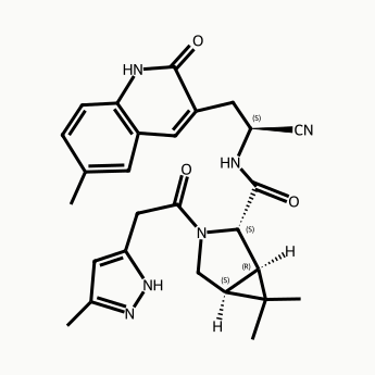 Cc1ccc2[nH]c(=O)c(C[C@@H](C#N)NC(=O)[C@@H]3[C@@H]4[C@H](CN3C(=O)Cc3cc(C)n[nH]3)C4(C)C)cc2c1